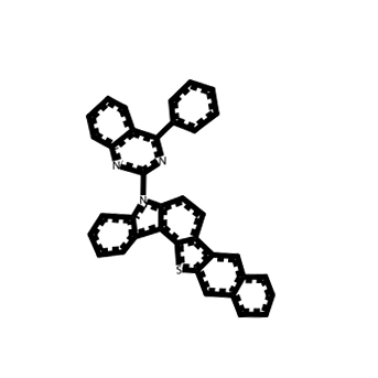 c1ccc(-c2nc(-n3c4ccccc4c4c5sc6cc7ccccc7cc6c5ccc43)nc3ccccc23)cc1